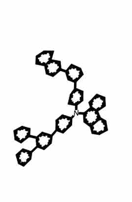 c1ccc(-c2ccc(-c3ccc(N(c4ccc(-c5cccc(-c6ccc7ccccc7c6)c5)cc4)c4cc5ccccc5c5ccccc45)cc3)cc2-c2ccccc2)cc1